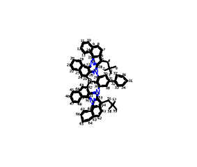 CC(C)(C)Cc1c2ccc3ccccc3c2n2c3c4ccccc4cc4c3n(c12)-c1cc(-c2ccccc2)cc2c1B4c1cc3ccccc3c3c1n-2c1c(CC(C)(C)C)c2ccc4ccccc4c2n31